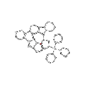 c1ccc([Si](c2ccccc2)(c2ccccc2)c2cccc(-n3c4ccccc4c4ccc5c6ccccc6c6nc7ccccc7n6c5c43)c2)cc1